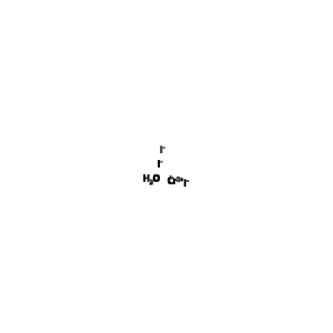 O.[Cr+3].[I-].[I-].[I-]